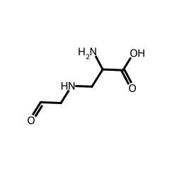 NC(CNCC=O)C(=O)O